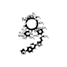 CC[C@H]1OC(=O)[C@H](C)[C@@H](C2C[C@@](C)(OC)[C@@H](O)[C@H](C)O2)[C@H](C)[C@@H](O[C@@H]2O[C@H](C)C[C@H](N(C)CCc3cn([C@H](CF)Cc4ccc(-n5ccnn5)cc4)nn3)[C@H]2O)[C@](C)(O)C[C@@H](C)CN(C)[C@H](C)[C@@H](O)[C@]1(C)O